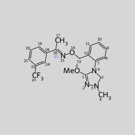 COC1=NN(C)CN1c1ccccc1CO/N=C(\C)c1cccc(C(F)(F)F)c1